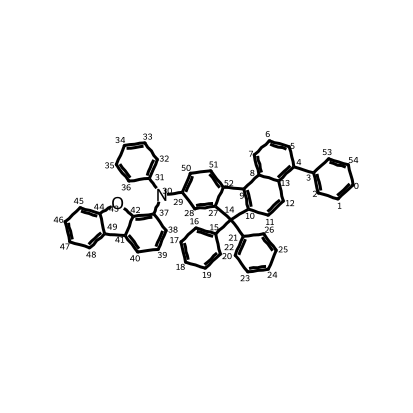 c1ccc(-c2cccc3c4c(ccc23)C(c2ccccc2)(c2ccccc2)c2cc(N(c3ccccc3)c3cccc5c3oc3ccccc35)ccc2-4)cc1